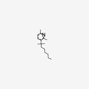 CCCCCCC(C)(C)c1ccc(C)nc1C